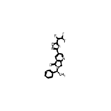 C[C@@H](c1ccccc1)N1Cc2ncc(-c3noc(C(F)C(F)F)n3)cc2C1=O